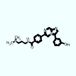 CN(C)CCCNC(=O)c1ccc(-c2cn3c(-c4cccc(O)c4)cnc3cn2)cc1